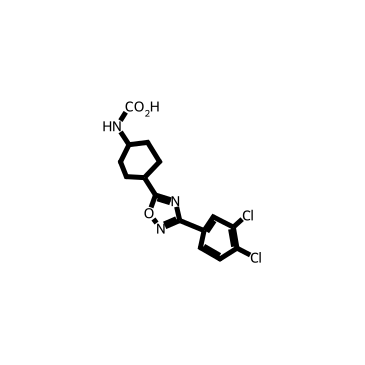 O=C(O)NC1CCC(c2nc(-c3ccc(Cl)c(Cl)c3)no2)CC1